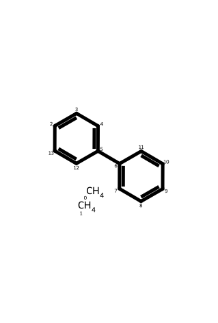 C.C.c1ccc(-c2ccccc2)cc1